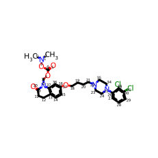 CN(C)OC(=O)OCN1C(=O)CCc2ccc(OCCCCN3CCN(c4cccc(Cl)c4Cl)CC3)cc21